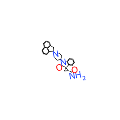 NC(=O)[C@H]1C[C@]12C(=O)N(C1CCN(C3Cc4cccc5cccc3c45)CC1)c1ccccc12